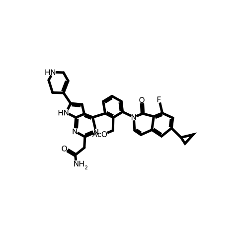 CC(=O)OCc1c(-c2nc(CC(N)=O)nc3[nH]c(C4=CCNCC4)cc23)cccc1-n1ccc2cc(C3CC3)cc(F)c2c1=O